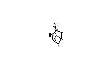 O=C1CC2CC(C2)N1